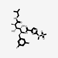 CC(C)CNC(=O)[C@H](C)[C@@H](O)[C@H](O)[C@H](Cc1cc(F)cc(F)c1)NC(=O)c1csc(N(C)S(C)(=O)=O)n1